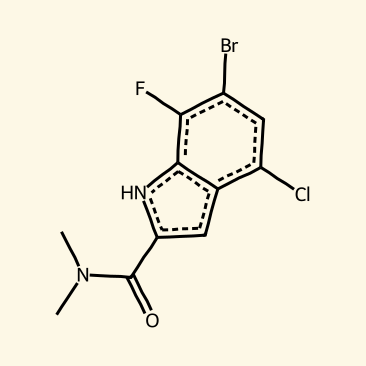 CN(C)C(=O)c1cc2c(Cl)cc(Br)c(F)c2[nH]1